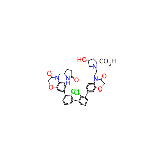 O=C1CC[C@@H](CN2C(=O)COc3cc(-c4cccc(-c5cccc(-c6ccc7c(c6)OCC(=O)N7CCN6C[C@H](O)C[C@@H]6C(=O)O)c5Cl)c4Cl)ccc32)N1